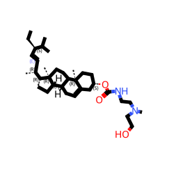 CC[C@H](/C=C/[C@@H](C)[C@H]1CC[C@H]2[C@@H]3CC=C4C[C@@H](OC(=O)NCCN(C)CCO)CC[C@]4(C)C3CC[C@]12C)C(C)C